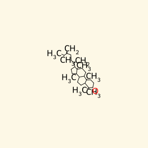 C=C(CCC(=C)C1CC[C@]2(C)C3CCC4C(C)(C)C(=O)CCC4(C)C3CC[C@@]12C)C(C)C